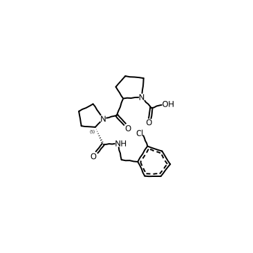 O=C(NCc1ccccc1Cl)[C@@H]1CCCN1C(=O)C1CCCN1C(=O)O